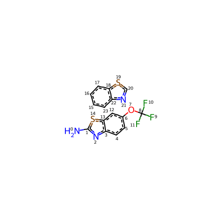 Nc1nc2ccc(OC(F)(F)F)cc2s1.c1ccc2scnc2c1